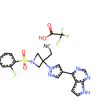 N#CCC1(n2cc(-c3ncnc4[nH]ccc34)cn2)CN(S(=O)(=O)c2ccccc2F)C1.O=C(O)C(F)(F)F